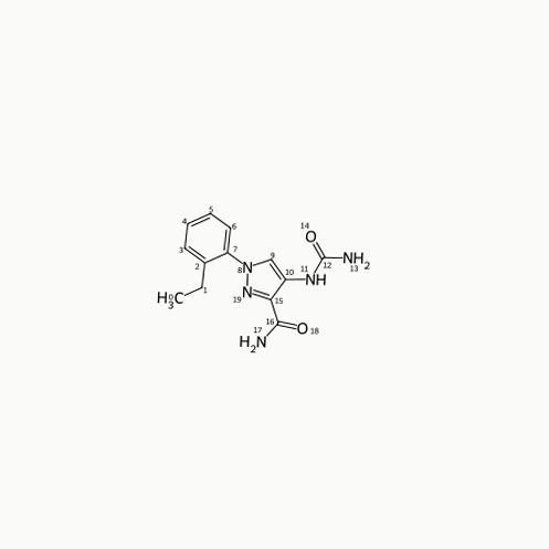 CCc1ccccc1-n1cc(NC(N)=O)c(C(N)=O)n1